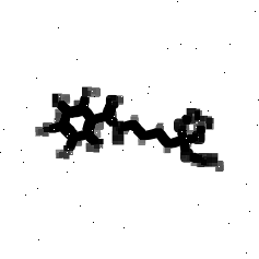 CCOC(CCCCNC(=O)c1c(F)c(F)c(F)c(F)c1F)(O[SiH3])OCC